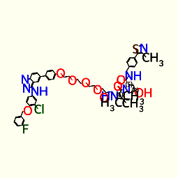 Cc1ncsc1-c1ccc(CNC(=O)[C@@H]2C[C@@H](O)CN2C(=O)[C@@H](NCC(=O)COCCOCCOCCOc2ccc(-c3ccc4ncnc(Nc5ccc(OCc6cccc(F)c6)c(Cl)c5)c4c3)cc2)C(C)(C)C)cc1